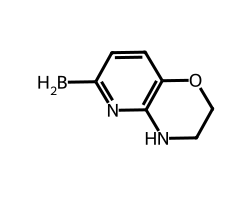 Bc1ccc2c(n1)NCCO2